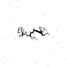 C=CC(C)=CCC=C(C)COC(=O)CC